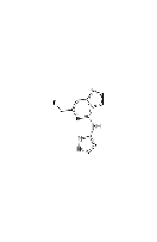 FCc1cc2nccn2c(Nc2cc[nH]n2)n1